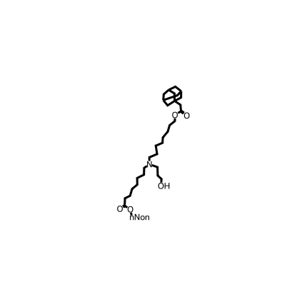 CCCCCCCCCOC(=O)CCCCCCCN(CCCO)CCCCCCCCOC(=O)CC12CC3CC(CC(C3)C1)C2